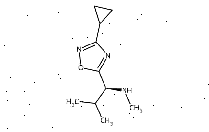 CN[C@H](c1nc(C2CC2)no1)C(C)C